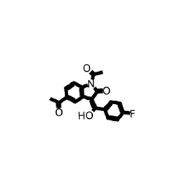 CC(=O)c1ccc2c(c1)C(=C(O)c1ccc(F)cc1)C(=O)N2C(C)=O